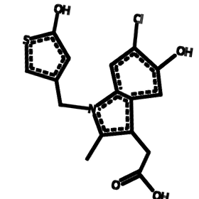 Cc1c(CC(=O)O)c2cc(O)c(Cl)cc2n1Cc1csc(O)c1